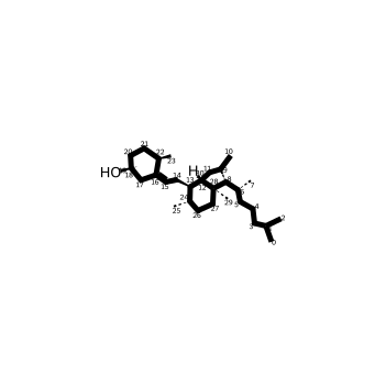 CC(C)CCC[C@@H](C)[C@H]1C(C)C[C@H]2[C@H](C/C=C3/C[C@@H](O)CC[C@H]3C)[C@@H](C)CC[C@]12C